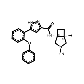 N#CN1C[C@@H]2CC[C@]2(NC(=O)c2cc(-c3ccccc3Oc3ccccc3)[nH]n2)C1